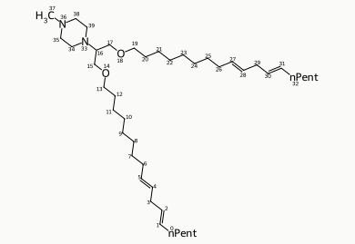 CCCCCC=CCC=CCCCCCCCCOCC(COCCCCCCCCC=CCC=CCCCCC)N1CCN(C)CC1